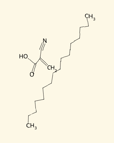 C=C(C#N)C(=O)O.CCCCCCCCCCCCCCCC